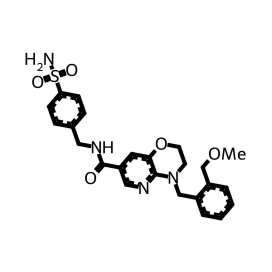 COCc1ccccc1CN1CCOc2cc(C(=O)NCc3ccc(S(N)(=O)=O)cc3)cnc21